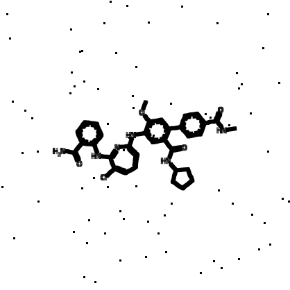 CNC(=O)c1ccc(-c2cc(OC)c(NC3=C=CC=C(Cl)C(Nc4ccccc4C(N)=O)=N3)cc2C(=O)NC2CCCC2)cc1